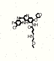 CCOCCNC/C=C/C(=O)Nc1cc2c(Nc3ccc(F)c(Cl)c3)c(C#N)cnc2cc1OC1CCOC1